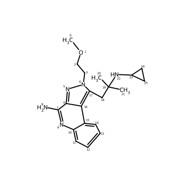 COCCn1nc2c(N)nc3ccccc3c2c1CC(C)(C)NC1CC1